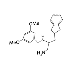 COc1cc(CNC(CN)CC2Cc3ccccc3C2)cc(OC)c1